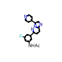 CC(=O)Nc1cc(F)cc(-c2ccc3ncc(-c4ccncc4)n3n2)c1